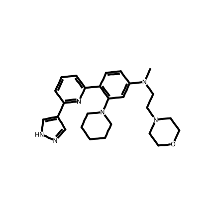 CN(CCN1CCOCC1)c1ccc(-c2cccc(-c3cn[nH]c3)n2)c(N2CCCCC2)c1